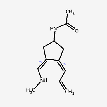 C=C/C=C1/CC(NC(C)=O)C/C1=C/NC